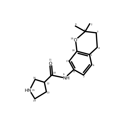 CC1(C)CCc2ccc(NC(=O)C3CCNC3)cc2O1